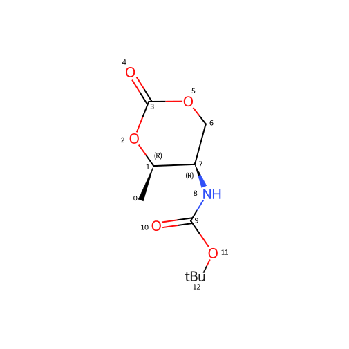 C[C@H]1OC(=O)OC[C@H]1NC(=O)OC(C)(C)C